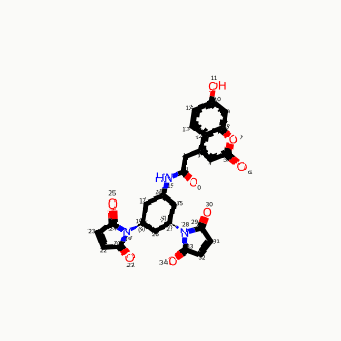 O=C(Cc1cc(=O)oc2cc(O)ccc12)NC1C[C@H](N2C(=O)C=CC2=O)C[C@@H](N2C(=O)C=CC2=O)C1